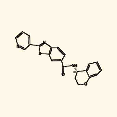 O=C(N[C@H]1CCOc2ccccc21)c1ccc2nc(-c3cccnc3)sc2c1